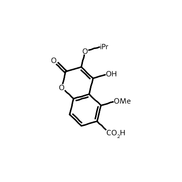 COc1c(C(=O)O)ccc2oc(=O)c(OC(C)C)c(O)c12